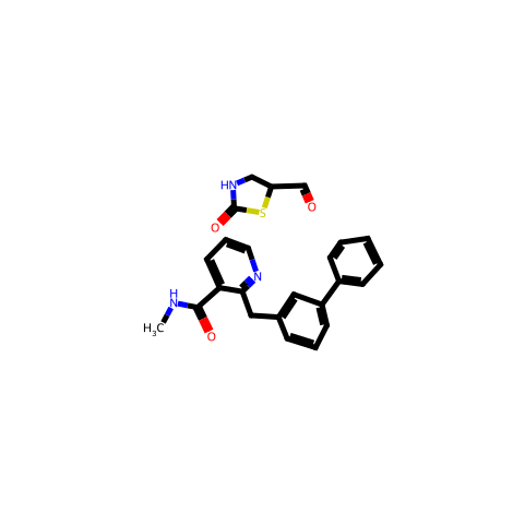 CNC(=O)c1cccnc1Cc1cccc(-c2ccccc2)c1.O=CC1CNC(=O)S1